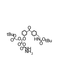 CC(C)(C)OC(=O)COC(Oc1cccc(C(=O)c2ccc(CNC(=O)OC(C)(C)C)cc2)c1)C(=O)OC(=O)NN